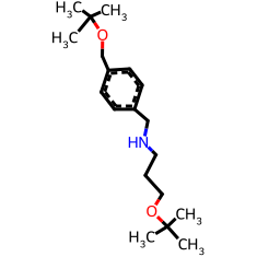 CC(C)(C)OCCCNCc1ccc(COC(C)(C)C)cc1